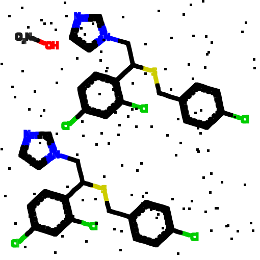 Clc1ccc(CSC(Cn2ccnc2)c2ccc(Cl)cc2Cl)cc1.Clc1ccc(CSC(Cn2ccnc2)c2ccc(Cl)cc2Cl)cc1.O=[N+]([O-])O